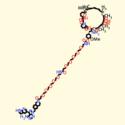 CO[C@H]1C[C@@H]2CCC[C@@](O)(O2)C(=O)C(=O)N2CCCC[C@H]2C(=O)O[C@H]([C@H](N)C[C@@H]2CC[C@@H](OC(=O)NCCOCCOCCOCCOCCOCCC(=O)NCCOCCOCCOCCOCCOCCC(=O)N3CCc4cc(Cn5nc(-c6cnc7[nH]ccc7c6)c6c(N)ncnc65)ccc4C3)[C@H](OC)C2)CC(=O)[C@H](C)/C=C(\C)[C@@H](O)[C@@H](O)C(=O)[C@H](C)C[C@H](C)/C=C/C=C/C=C/1C